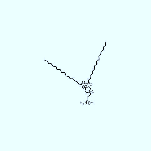 CCCCCCCCC=CCCCCCCCC(=O)OC1(OC(=O)CCCCCCCC=CCCCCCCCC)CC[N+](C)(CCCN)CC1.[Br-]